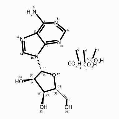 CC(=O)O.CC(=O)O.CC(=O)O.Nc1ncnc2c1ncn2[C@@H]1O[C@H](CO)[C@@H](O)[C@H]1O